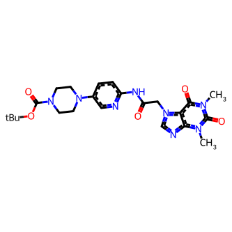 Cn1c(=O)c2c(ncn2CC(=O)Nc2ccc(N3CCN(C(=O)OC(C)(C)C)CC3)cn2)n(C)c1=O